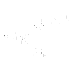 C=C(C)C(=O)OCCNC(=O)NCCCCC(NC(=O)NCCOC(=O)C(=C)C)C(=O)OC